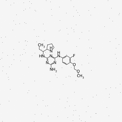 CCC(Nc1nc(N)nc(Nc2ccc(OCOC)c(F)c2)n1)C1CCCN1